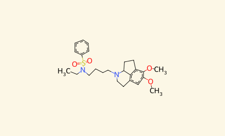 CCN(CCCCN1CCc2cc(OC)c(OC)c3c2C1CC3)S(=O)(=O)c1ccccc1